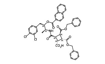 C[C@H](NC(=O)[C@@H]1[C@@H](C(=O)O)[C@@H](C(=O)OCc2ccccc2)[C@@H]1C(=O)OCc1ccccc1)[C@@H](Cc1ccc(Cl)c(Cl)c1)OC(=O)c1ccc2ccccc2c1